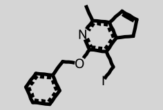 Cc1nc(OCc2ccccc2)c(CI)c2c1C=CC2